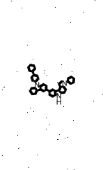 c1ccc(-c2ccc(-n3c4ccccc4c4cc(-c5ccc6[nH]c7ccc8c(ccn8-c8ccccc8)c7c6c5)ccc43)cc2)cc1